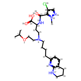 CC(C)OCCN(CCCCc1ccc2c(n1)NCCC2)CCC(NC(=O)c1c(Cl)cnn1C)C(=O)O